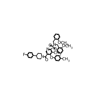 COc1ccccc1CN(Cc1ccccc1OC)S(=O)(=O)c1ncc(C(=O)N2CCC(c3ccc(F)cc3)CC2)c(Oc2ccc(C)cc2)c1C